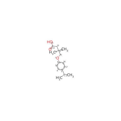 CC(C)c1ccc(OCC(C)(C)CC(=O)O)cc1